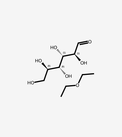 CCOCC.O=C[C@@H](O)[C@@H](O)[C@H](O)[C@H](O)CO